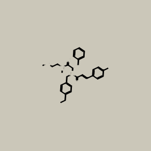 CCc1ccc(CN(C(=O)C=Cc2ccc(C)cc2)[C@@H](Cc2ccccc2)C(=O)N(C)CCOC)cc1